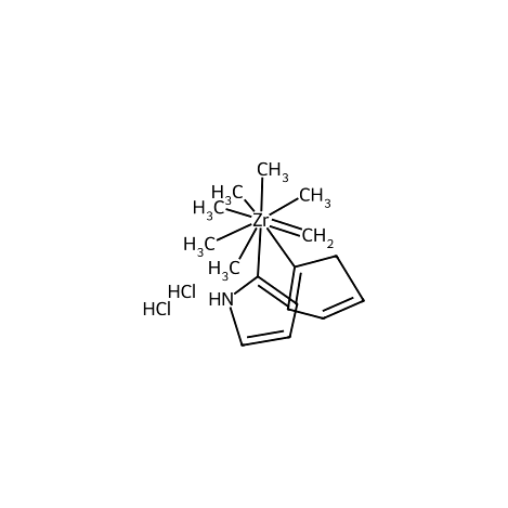 Cl.Cl.[CH2]=[Zr]([CH3])([CH3])([CH3])([CH3])([CH3])([CH3])([C]1=CC=CC1)[c]1ccc[nH]1